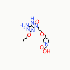 CCCCOc1nc(N)c2[nH]c(=O)n(CCCOCC3CCN(CC(=O)O)CC3)c2n1